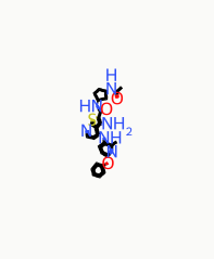 CC(=O)N[C@H]1CC[C@H](NC(=O)c2sc3nccc(Nc4ccc(Oc5ccccc5)nc4C)c3c2N)C1